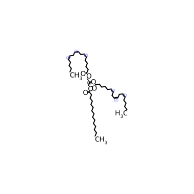 CCCCC/C=C\C/C=C\C/C=C\CCCCC(=O)OC[C@H](COC(=O)CCCCCCCCCCCCCCC)OC(=O)CCCC/C=C\C/C=C\C/C=C\CCCCC